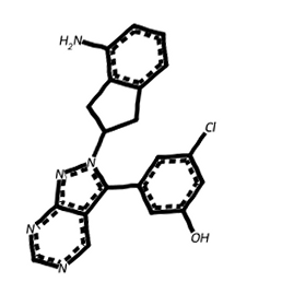 Nc1cccc2c1CC(n1nc3ncncc3c1-c1cc(O)cc(Cl)c1)C2